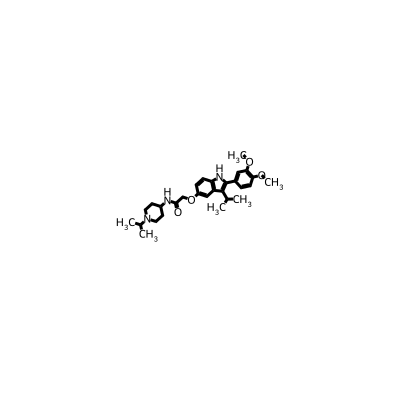 COc1ccc(-c2[nH]c3ccc(OCC(=O)NC4CCN(C(C)C)CC4)cc3c2C(C)C)cc1OC